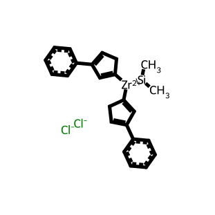 C[Si](C)=[Zr+2]([C]1=CC(c2ccccc2)=CC1)[C]1=CC(c2ccccc2)=CC1.[Cl-].[Cl-]